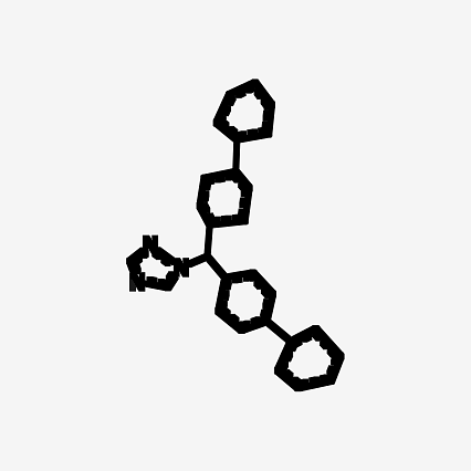 c1ccc(-c2ccc(C(c3ccc(-c4ccccc4)cc3)n3cncn3)cc2)cc1